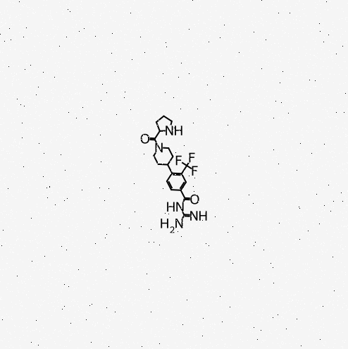 N=C(N)NC(=O)c1ccc(C2CCN(C(=O)C3CCCN3)CC2)c(C(F)(F)F)c1